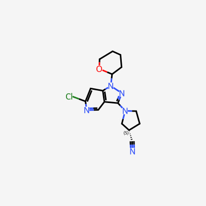 N#C[C@H]1CCN(c2nn(C3CCCCO3)c3cc(Cl)ncc23)C1